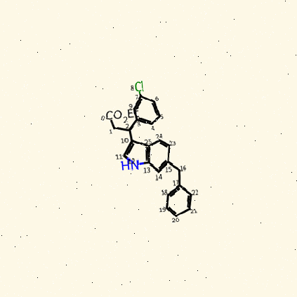 CCOC(=O)CC(c1cccc(Cl)c1)c1c[nH]c2cc(Cc3ccccc3)ccc12